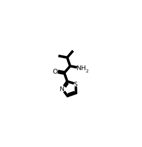 CC(C)C(N)C(=O)c1nccs1